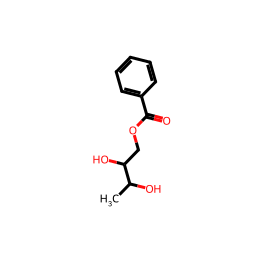 CC(O)C(O)COC(=O)c1ccccc1